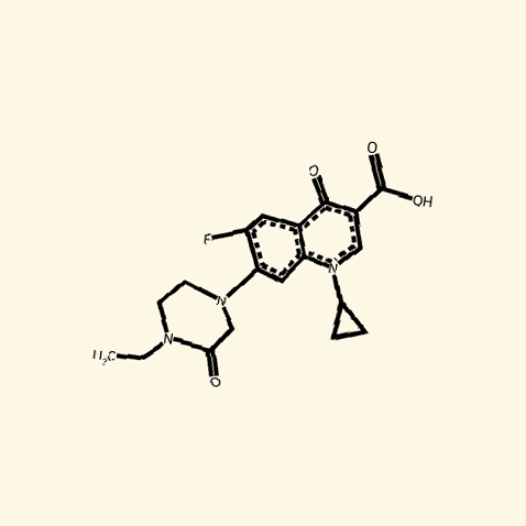 CCN1CCN(c2cc3c(cc2F)c(=O)c(C(=O)O)cn3C2CC2)CC1=O